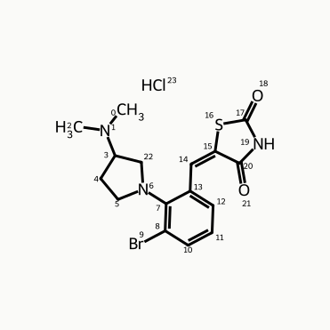 CN(C)C1CCN(c2c(Br)cccc2C=C2SC(=O)NC2=O)C1.Cl